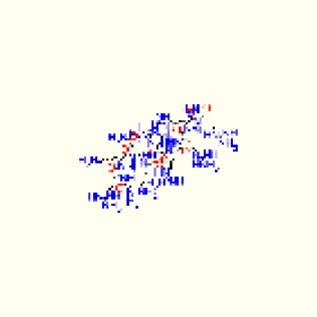 N=C(N)NCCC[C@H](NC(=O)[C@H](CCCNC(=N)N)NC(=O)[C@H](CCCNC(=N)N)NC(=O)[C@H](CCCNC(=N)N)NC(=O)[C@H](CCCNC(=N)N)NC(=O)[C@H](CCCCN)NC(=O)[C@H](CCC(N)=O)NC(=O)[C@H](CCCCN)NC(=O)[C@H](CCCNC(=N)N)NC(=O)CN)C(N)=O